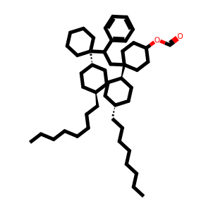 CCCCCCCC[C@H]1CC[C@H](C2(CC(c3ccccc3)C3([C@H]4CC[C@H](CCCCCCCC)CC4)CCCCC3)CCC(OC=O)CC2)CC1